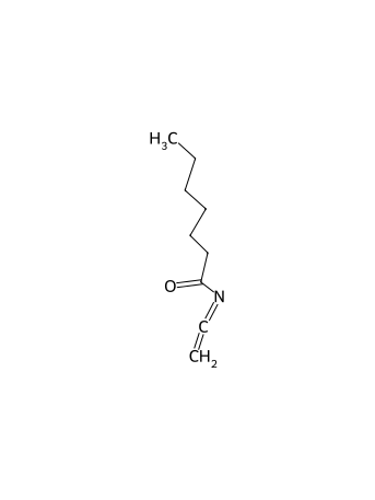 C=C=NC(=O)CCCCCC